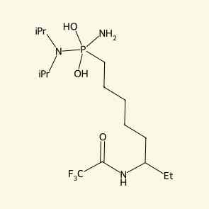 CCC(CCCCCP(N)(O)(O)N(C(C)C)C(C)C)NC(=O)C(F)(F)F